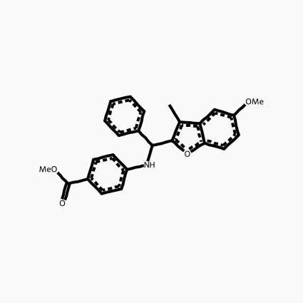 COC(=O)c1ccc(NC(c2ccccc2)c2oc3ccc(OC)cc3c2C)cc1